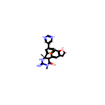 CN1C(=N)N[C@](C)(c2cc(-c3cncnc3)cs2)C(c2ccc3c(c2)CCO3)C1=O